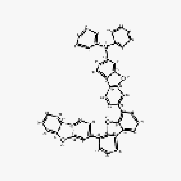 c1ccc(N(c2ccccc2)c2ccc3c(c2)oc2cc(-c4cccc5c4oc4c(-c6ccc7c(c6)oc6ccccc67)cccc45)ccc23)cc1